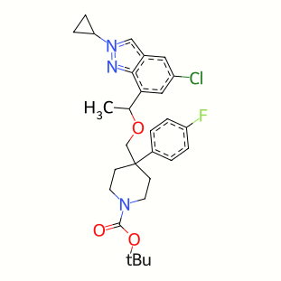 CC(OCC1(c2ccc(F)cc2)CCN(C(=O)OC(C)(C)C)CC1)c1cc(Cl)cc2cn(C3CC3)nc12